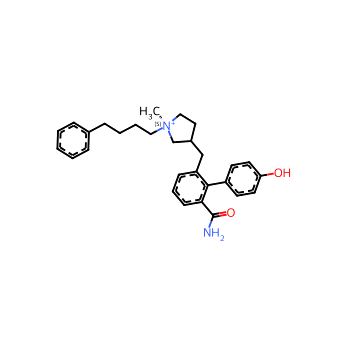 C[N@+]1(CCCCc2ccccc2)CCC(Cc2cccc(C(N)=O)c2-c2ccc(O)cc2)C1